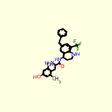 Cc1cc(O)cc(C)c1CC(N)C(=O)NC1CCNc2c1cc(Cc1ccccc1)cc2C(F)(F)F